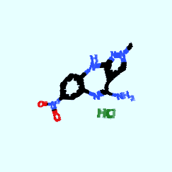 Cl.Cn1cc2c(n1)Nc1ccc([N+](=O)[O-])cc1N=C2N